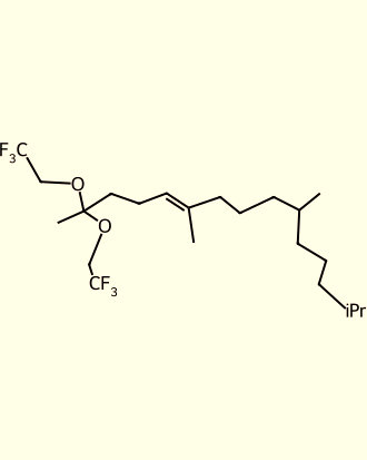 C/C(=C\CCC(C)(OCC(F)(F)F)OCC(F)(F)F)CCCC(C)CCCC(C)C